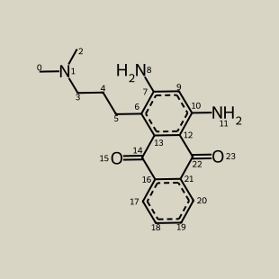 CN(C)CCCc1c(N)cc(N)c2c1C(=O)c1ccccc1C2=O